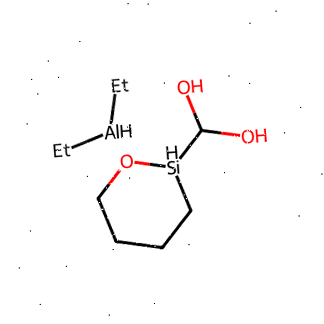 C[CH2][AlH][CH2]C.OC(O)[SiH]1CCCCO1